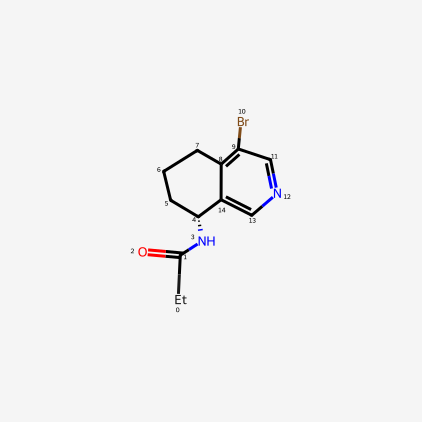 CCC(=O)N[C@@H]1CCCc2c(Br)cncc21